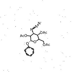 CC(=O)OCC1O[C@H](Oc2ccccc2)C(OC(C)=O)[C@@H](N=[N+]=[N-])[C@H]1OC(C)=O